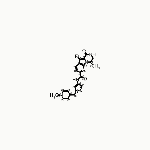 C[C@@H]1CNC(=O)c2c(F)c3ccc(C(=O)Nc4cnn(CC5CCN(C)CC5)c4)nc3n21